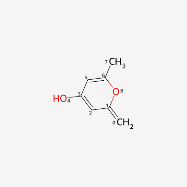 C=C1C=C(O)C=C(C)O1